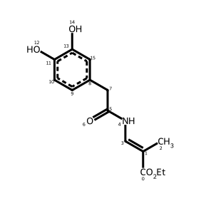 CCOC(=O)C(C)=CNC(=O)Cc1ccc(O)c(O)c1